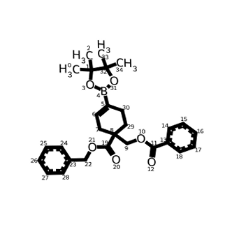 CC1(C)OB(C2=CCC(COC(=O)c3ccccc3)(C(=O)OCc3ccccc3)CC2)OC1(C)C